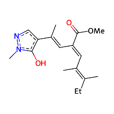 CC/C(C)=C(C)/C=C(\C=C(/C)c1cnn(C)c1O)C(=O)OC